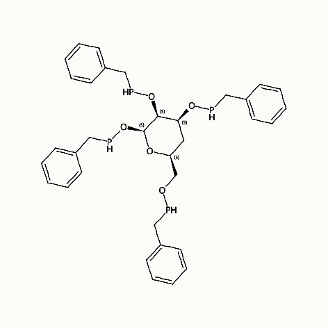 c1ccc(CPOC[C@@H]2C[C@H](OPCc3ccccc3)[C@H](OPCc3ccccc3)[C@H](OPCc3ccccc3)O2)cc1